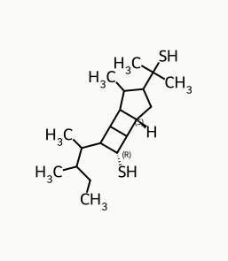 CCC(C)C(C)C1C2C3C(C)C(C(C)(C)S)C[C@@H]3C2[C@@H]1S